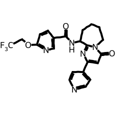 O=C(NC1CCCCn2c1nc(-c1ccncc1)cc2=O)c1ccc(OCC(F)(F)F)nc1